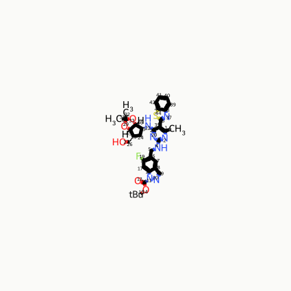 Cc1nc(NCc2cc3cnn(C(=O)OC(C)(C)C)c3cc2F)nc(N[C@@H]2C[C@H](CO)[C@H]3OC(C)(C)O[C@H]32)c1-c1nc2ccccc2s1